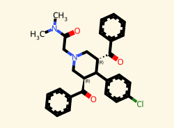 CN(C)C(=O)CN1C[C@H](C(=O)c2ccccc2)C(c2ccc(Cl)cc2)[C@@H](C(=O)c2ccccc2)C1